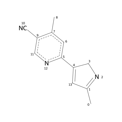 CC1=NCC(c2cc(C)c(C#N)cn2)=C1